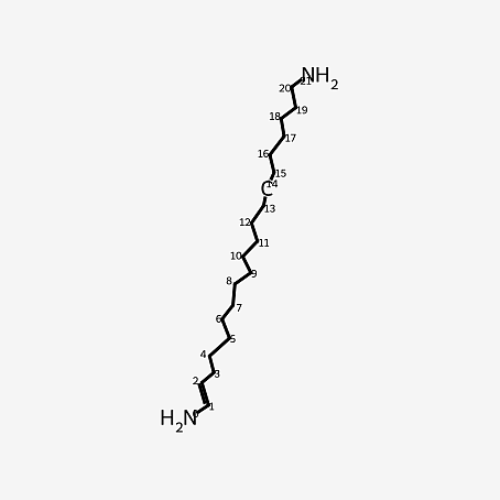 NC=CCCCCCCCCCCCCCCCCCCN